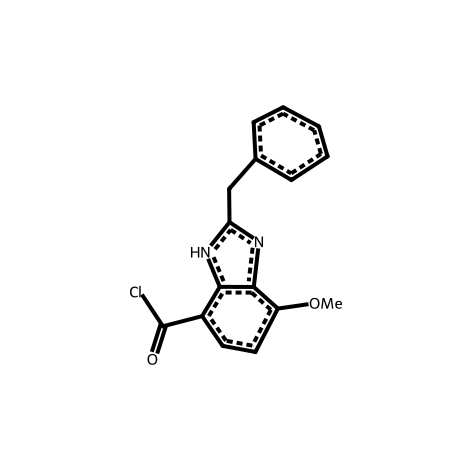 COc1ccc(C(=O)Cl)c2[nH]c(Cc3ccccc3)nc12